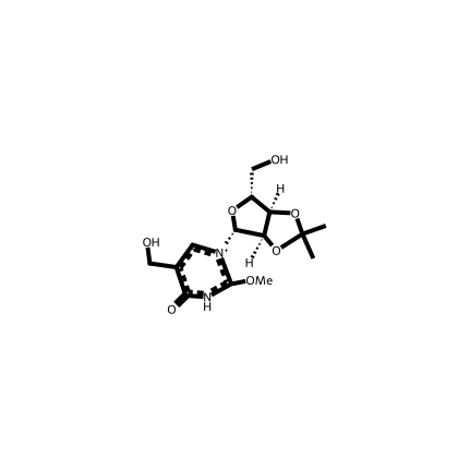 COc1[nH]c(=O)c(CO)c[n+]1[C@@H]1O[C@H](CO)[C@H]2OC(C)(C)O[C@H]21